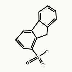 O=S(=O)(Cl)c1cccc2c1Cc1ccccc1-2